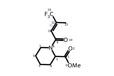 COC(=O)C1CCCCN1C(=O)/C=C(\C)C(F)(F)F